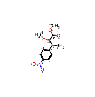 BC(c1ccc([N+](=O)[O-])cc1)C(OC)C(=O)OC